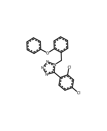 Clc1ccc(-c2nnnn2Cc2ccccc2Oc2ccccc2)c(Cl)c1